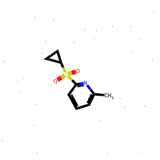 Cc1cc[c]c(S(=O)(=O)C2CC2)n1